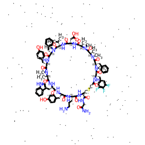 CC(C)[C@@H]1NC(=O)[C@H](CC(=O)O)NC(=O)[C@@H](C)N(C)C(=O)[C@H](C)N(C)C(=O)[C@H](Cc2ccccc2)N(C)C(=O)[C@H](Cc2cc(F)c(F)c(F)c2)NC(=O)CSC[C@@H](C(=O)NCC(N)=O)NC(=O)[C@H](CCCN)NC(=O)[C@H](Cc2ccc(O)cc2)NC(=O)[C@H](Cc2c[nH]c3ccccc23)NC(=O)[C@@H](C)N(C)C(=O)[C@H](Cc2ccc(O)cc2)NC(=O)[C@H](Cc2ccccc2)N(C)C1=O